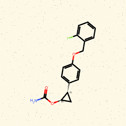 NC(=O)O[C@@H]1C[C@H]1c1ccc(OCc2ccccc2F)cc1